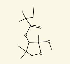 CCC(C)(I)C(=O)OC1C(C)(C)COC1(C)OC